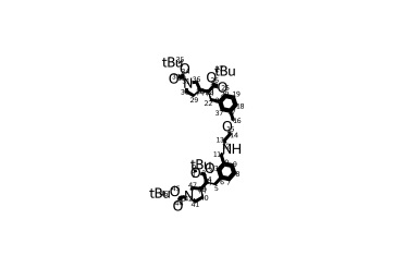 CC(C)(C)OC(=O)[C@@H](Cc1cccc(CNCCOCc2cccc(C[C@H](C(=O)OC(C)(C)C)[C@H]3CCN(C(=O)OC(C)(C)C)C3)c2)c1)[C@H]1CCN(C(=O)OC(C)(C)C)C1